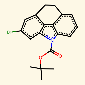 CC(C)(C)OC(=O)n1c2cccc3c2c2c(cc(Br)cc21)CC3